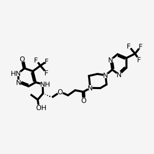 CC(O)[C@@H](COCCC(=O)N1CCN(c2ncc(C(F)(F)F)cn2)CC1)Nc1cn[nH]c(=O)c1C(F)(F)F